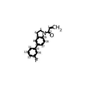 C=CC(=O)N1CCc2cc(-c3cccc(F)c3)ccc21